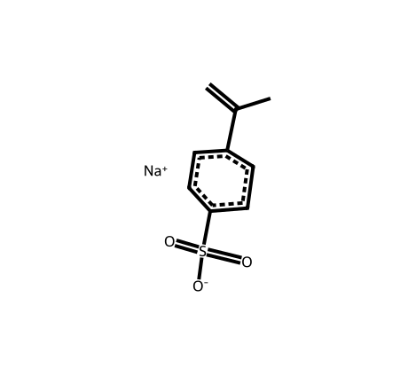 C=C(C)c1ccc(S(=O)(=O)[O-])cc1.[Na+]